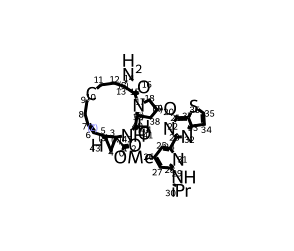 COC(=O)[C@@]12C[C@H]1/C=C\CCCCC[C@H](N)C(=O)N1C[C@H](Oc3nc(-c4cccc(NC(C)C)n4)nc4ccsc34)C[C@H]1C(=O)N2